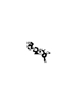 COc1cc(C#N)ccc1[C@H](C)NC(=O)[C@H]1CCN(c2ncnc3[nH]ccc23)CC12CC2